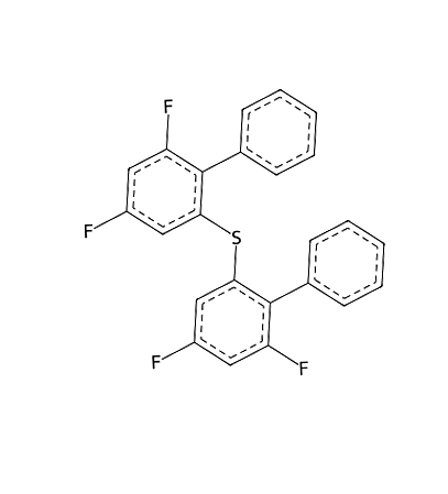 Fc1cc(F)c(-c2ccccc2)c(Sc2cc(F)cc(F)c2-c2ccccc2)c1